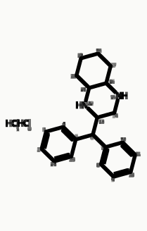 Cl.Cl.c1ccc(C(c2ccccc2)C2CNC3CCCCC3N2)cc1